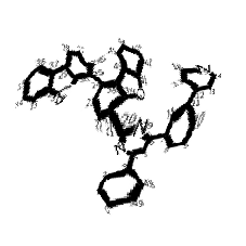 c1ccc(-c2cc(-c3cccc(-c4ccncc4)c3)nc(-c3ccc(-c4cccc5c4sc4ccccc45)c4c3oc3ccccc34)n2)cc1